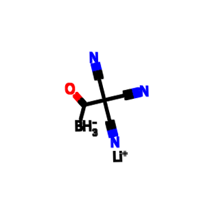 [BH3-]C(=O)C(C#N)(C#N)C#N.[Li+]